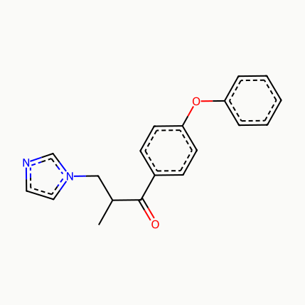 CC(Cn1ccnc1)C(=O)c1ccc(Oc2ccccc2)cc1